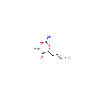 CNC(=O)C(C/C=C/C(C)(C)C)OC(N)=O